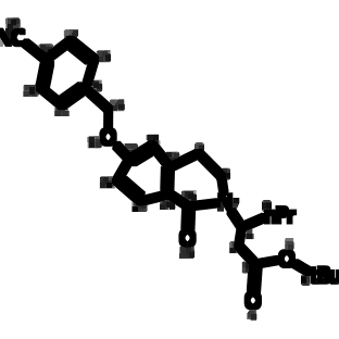 CCCC(CC(=O)OC(C)(C)C)N1CCc2cc(OCc3ccc(C#N)cc3)ccc2C1=O